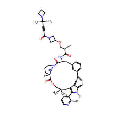 CCn1c(-c2cccnc2C(C)C)c2c3cc(ccc31)-c1cccc(c1)C[C@H](NC(=O)[C@@H](COC1CN(C(=O)C#CC(C)(C)N3CCC3)C1)C(C)C)C(=O)N1CCC[C@H](N1)C(=O)OCC(C)(C)C2